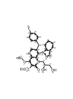 CCCCOc1c(C(=O)OCC)c(=O)n(C[C@H](O)CO)c2c(-n3nnc4ccccc43)c(Cc3ccc(F)cc3)cnc12